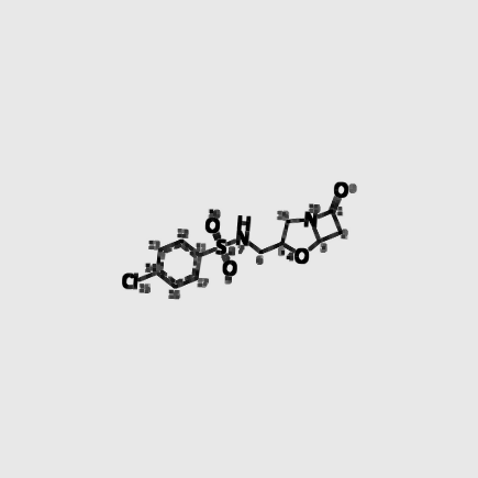 O=C1CC2OC(CNS(=O)(=O)c3ccc(Cl)cc3)CN12